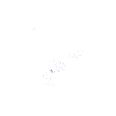 CCCCCCCCCCCCCCCC(=O)OCc1ccccc1C(=O)OCC(CCn1cnc2c(NC(=O)CC(C)(C)c3c(C)cc(C)cc3OC(C)=O)nc(F)nc21)OC